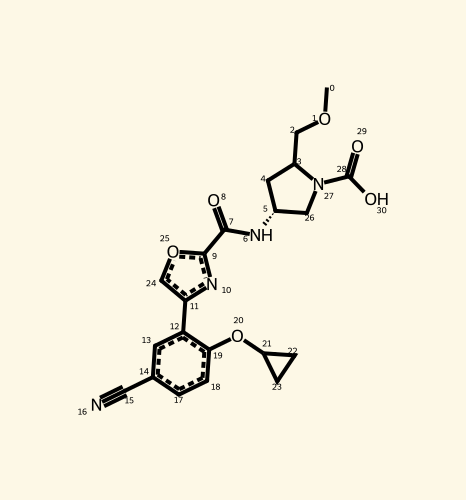 COCC1C[C@@H](NC(=O)c2nc(-c3cc(C#N)ccc3OC3CC3)co2)CN1C(=O)O